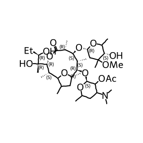 CC[C@@H](O)[C@@](C)(O)[C@@H]1OC(=O)[C@H](C)[C@@H](O[C@H]2CC(C)(OC)[C@@H](O)C(C)O2)[C@H](C)[C@@H](O[C@@H]2OC(C)CC(N(C)C)C2OC(C)=O)[C@@]2(C)CC(C)C(O2)[C@@H]1C